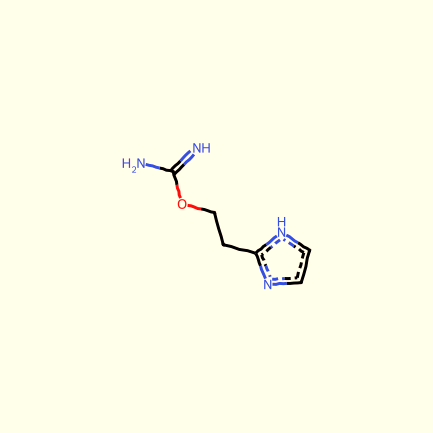 N=C(N)OCCc1ncc[nH]1